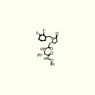 CC(C)ONC(=O)[C@@H](NC(=O)C[C@@H]1CCC(=O)N1Cc1cccc(F)c1F)C(C)C